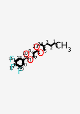 CCCC[C@H]1CO[C@H]([C@H]2CO[C@H](c3cc(F)c(F)c(F)c3)OC2)OC1